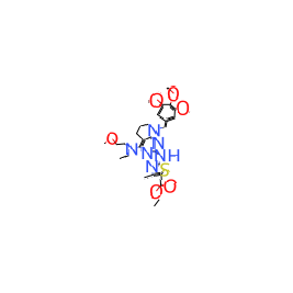 CCOC(=O)c1sc(Nc2nc(N(CC)CCOC)c3c(n2)N(Cc2cc(OC)c(OC)c(OC)c2)CCC3)nc1C